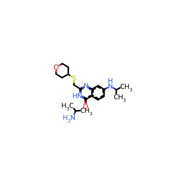 CC(C)N.CC(C)Nc1ccc2c(=O)[nH]c(CSC3CCOCC3)nc2c1